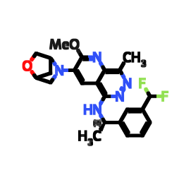 COc1nc2c(C)nnc(N[C@H](C)c3cccc(C(F)F)c3)c2cc1N1CC2CC1CO2